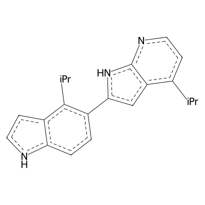 CC(C)c1c(-c2cc3c(C(C)C)ccnc3[nH]2)ccc2[nH]ccc12